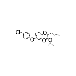 CCCCC(Oc1ccc(Oc2ccc(Cl)cc2)cc1)C(=O)OC(C)C